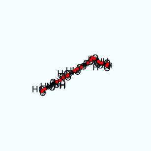 CC(=O)N(O)CCCCCNC(=O)CCC(=O)N(O)CCCCCNC(=O)CCC(=O)N(O)CCCCCNC(=O)CCOCCOCCOCCOc1cccc(C(=O)NCC(=O)N[C@@H](CCCCN2C(=O)C=CC2=O)C(=O)O)c1